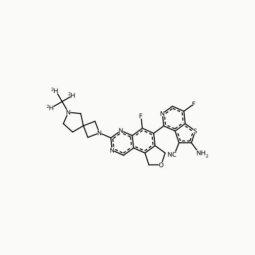 [2H]C([2H])([2H])N1CCC2(CN(c3ncc4c5c(c(-c6ncc(F)c7sc(N)c(C#N)c67)c(F)c4n3)COC5)C2)C1